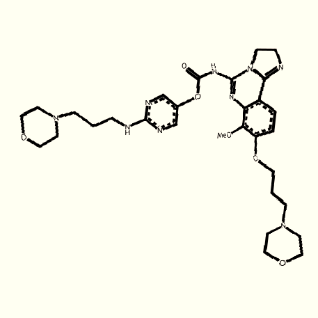 COc1c(OCCCN2CCOCC2)ccc2c1N=C(NC(=O)Oc1cnc(NCCCN3CCOCC3)nc1)N1CCN=C21